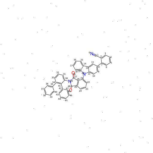 N#Cc1ccccc1-c1ccc2c(c1)c1ccccc1n2-c1cccc2c1C(=O)N(c1cccc(-c3ccccc3)c1-c1ccccc1)C2=O